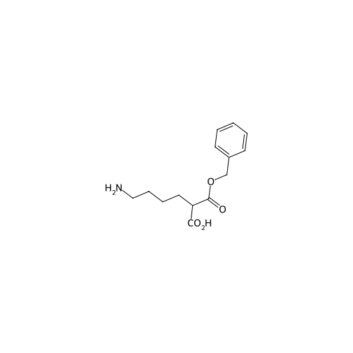 NCCCCC(C(=O)O)C(=O)OCc1ccccc1